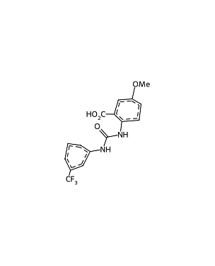 COc1ccc(NC(=O)Nc2cccc(C(F)(F)F)c2)c(C(=O)O)c1